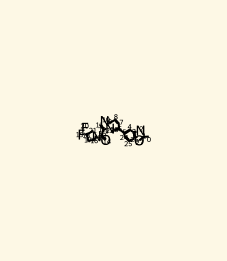 Cc1nc2cc(-c3ccc4ncc(C(=O)N5CCC(F)(F)C5)n4c3)ccc2o1